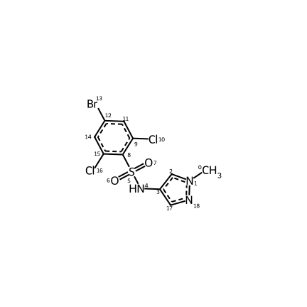 Cn1cc(NS(=O)(=O)c2c(Cl)cc(Br)cc2Cl)cn1